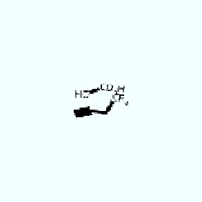 C#CCC(F)(F)F.O=C(O)O